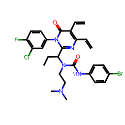 C=Cc1nc(C(CC)N(CCN(C)C)C(=O)Nc2ccc(Br)cc2)n(-c2ccc(F)c(Cl)c2)c(=O)c1C=C